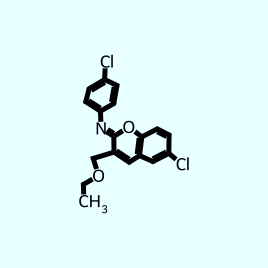 CCOCc1cc2cc(Cl)ccc2o/c1=N\c1ccc(Cl)cc1